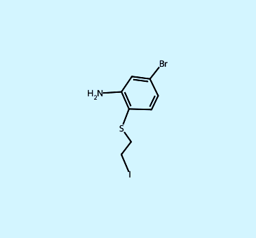 Nc1cc(Br)ccc1SCCI